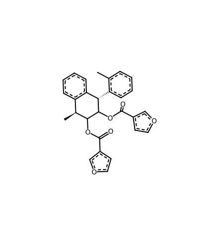 Cc1ccccc1[C@H]1c2ccccc2[C@H](C)C(OC(=O)c2ccoc2)C1OC(=O)c1ccoc1